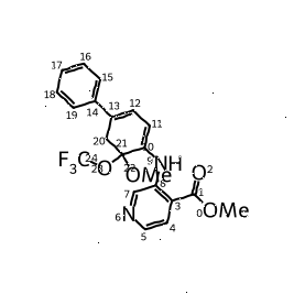 COC(=O)c1ccncc1NC1=CC=C(c2ccccc2)CC1(OC)OC(F)(F)F